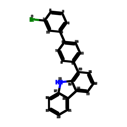 Brc1cccc(-c2ccc(-c3cccc4c3[nH]c3ccccc34)cc2)c1